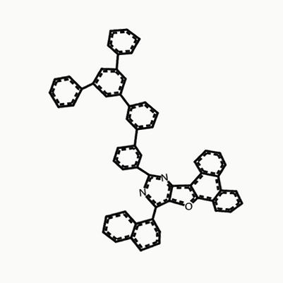 c1ccc(-c2cc(-c3ccccc3)cc(-c3cccc(-c4cccc(-c5nc(-c6cccc7ccccc67)c6oc7c8ccccc8c8ccccc8c7c6n5)c4)c3)c2)cc1